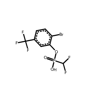 O=P(O)(Oc1cc(C(F)(F)F)ccc1Br)C(F)F